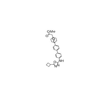 COC(=O)CC12CCC(c3ccc(-c4ccc(Nc5nnc(C6CCC6)o5)cc4)cc3)(CC1)CO2